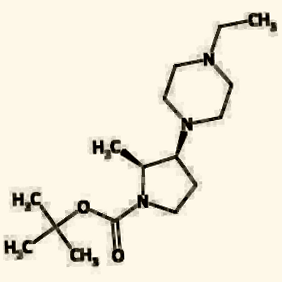 CCN1CCN([C@H]2CCN(C(=O)OC(C)(C)C)[C@H]2C)CC1